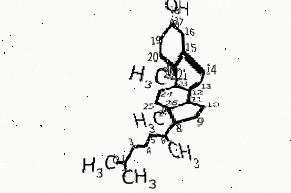 CC(C)CCCC(C)C1CCC2C3=CC=C4C[C@@H](O)CC[C@]4(C)C3CC[C@@]21C